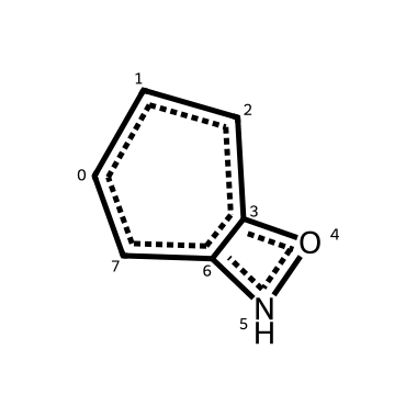 c1ccc2o[nH]c2c1